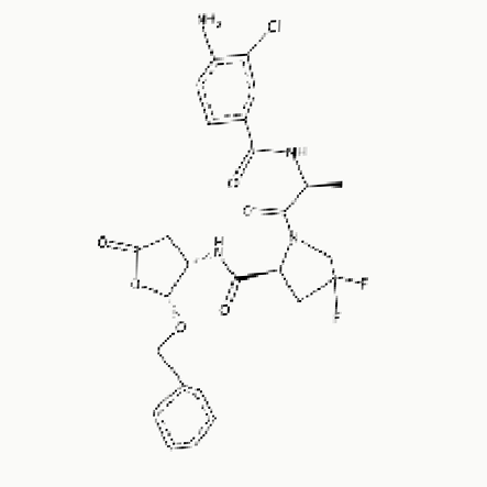 C[C@H](NC(=O)c1ccc(N)c(Cl)c1)C(=O)N1CC(F)(F)C[C@H]1C(=O)N[C@H]1CC(=O)O[C@H]1OCc1ccccc1